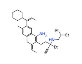 C#CC(CC)(CCC1=C(N)c2cc(/C(=C\C)C3CCCCC3)c(C)cc2C/C1=C/C)NCC(CC)C(C)C